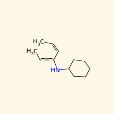 C/C=C\C(=C/C)NC1CCCCC1